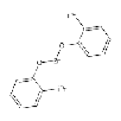 CC(C)c1ccccc1[O][Zr][O]c1ccccc1C(C)C